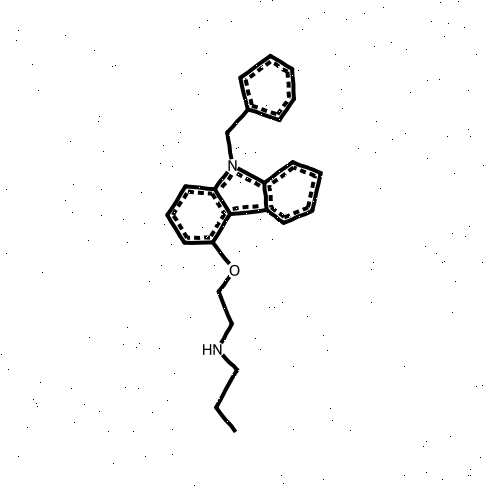 CCCNCCOc1cccc2c1c1ccccc1n2Cc1ccccc1